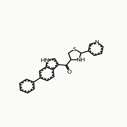 O=C(c1c[nH]c2cc(-c3ccccc3)ccc12)C1CSC(c2cccnc2)N1